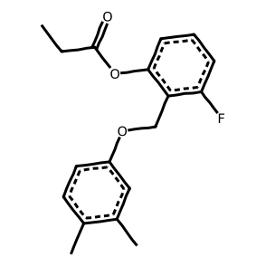 CCC(=O)Oc1cccc(F)c1COc1ccc(C)c(C)c1